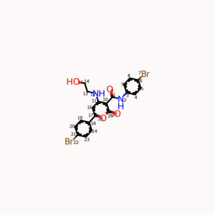 O=C(Nc1ccc(Br)cc1)c1c(NCCO)cc(-c2ccc(Br)cc2)oc1=O